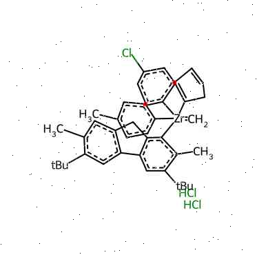 Cl.Cl.[CH2]=[Zr]([C]1=CC=CC1)([c]1ccc(C)cc1)([c]1ccc(Cl)cc1)[c]1c(C)c(C(C)(C)C)cc2c1Cc1cc(C)c(C(C)(C)C)cc1-2